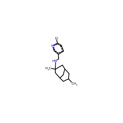 CCc1ccc(CNC2(C)CC3CC(C)CC(C3)C2)cn1